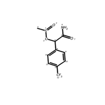 CS(=O)OC(C(N)=O)c1ccc(C(F)(F)F)cc1